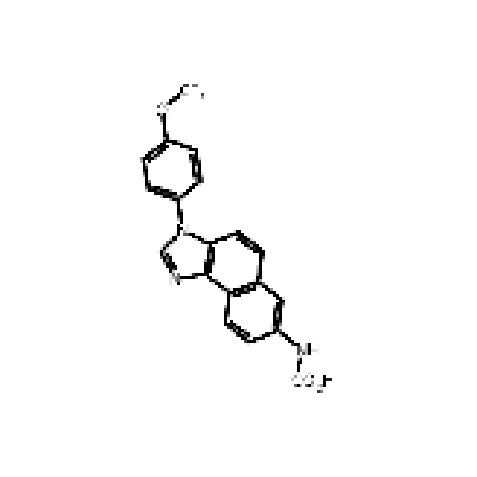 O=C(O)Nc1ccc2c(ccc3c2ncn3-c2ccc(OC(F)(F)F)cc2)c1